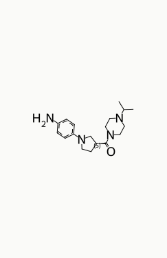 CC(C)N1CCN(C(=O)[C@H]2CCN(c3ccc(N)cc3)C2)CC1